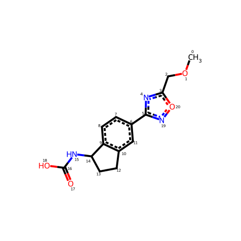 COCc1nc(-c2ccc3c(c2)CCC3NC(=O)O)no1